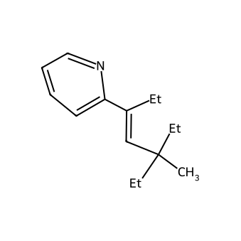 CC/C(=C\C(C)(CC)CC)c1ccccn1